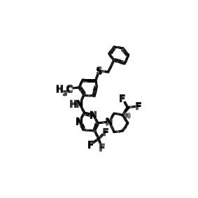 Cc1cc(SCc2ccccc2)ccc1Nc1ncc(C(F)(F)F)c(N2CCC[C@H](C(F)F)C2)n1